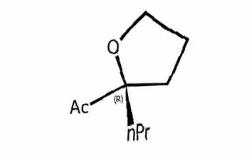 CCC[C@]1(C(C)=O)CCCO1